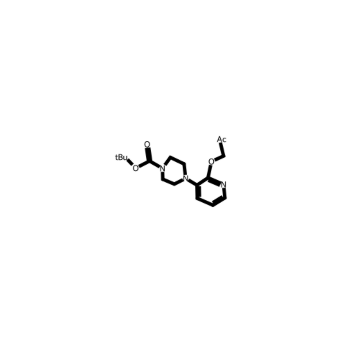 CC(=O)COc1ncccc1N1CCN(C(=O)OC(C)(C)C)CC1